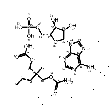 CCCC(C)(COC(N)=O)COC(N)=O.Nc1ncnc2c1ncn2[C@@H]1O[C@H](COP(=O)(O)O)[C@@H](O)[C@H]1O